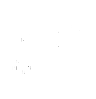 CCOC(=O)c1sc(-c2ccnc(-c3nn[nH]n3)c2)nc1C